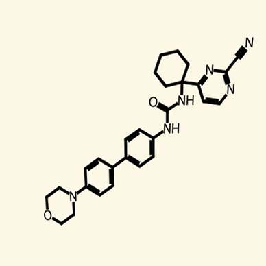 N#Cc1nccc(C2(NC(=O)Nc3ccc(-c4ccc(N5CCOCC5)cc4)cc3)CCCCC2)n1